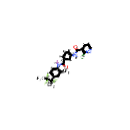 CN(C(=O)c1cccnc1Cl)c1cccc(C(=O)N(I)c2ccc(C(F)(C(F)(F)F)C(F)(F)C(F)(F)F)cc2C(F)(F)F)c1